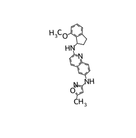 COc1cccc2c1C(Nc1ccc3cc(Nc4cc(C)on4)ccc3n1)CC2